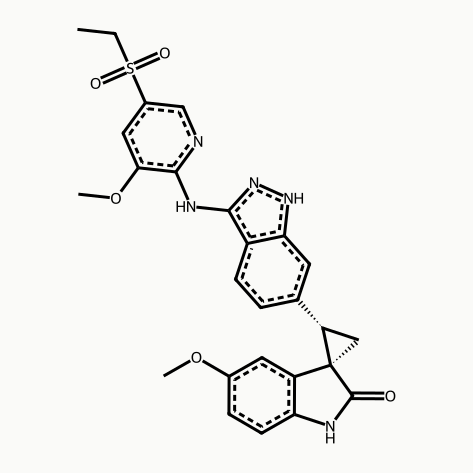 CCS(=O)(=O)c1cnc(Nc2n[nH]c3cc([C@@H]4C[C@@]45C(=O)Nc4ccc(OC)cc45)ccc23)c(OC)c1